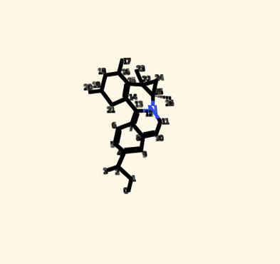 CCC(C)c1ccc2c(c1)=CCN1C=2C2=C(C(C)CC(C)C2)C2(C)C[C@@]12C